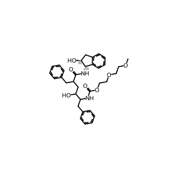 COCCOCCOC(=O)NC(Cc1ccccc1)C(O)CC(Cc1ccccc1)C(=O)N[C@H]1c2ccccc2C[C@@H]1O